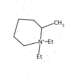 CC[N+]1(CC)CCCCC1C